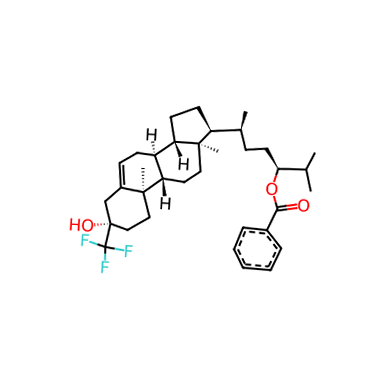 CC(C)[C@H](CC[C@H](C)[C@@H]1CC[C@H]2[C@@H]3CC=C4C[C@](O)(C(F)(F)F)CC[C@]4(C)[C@H]3CC[C@@]21C)OC(=O)c1ccccc1